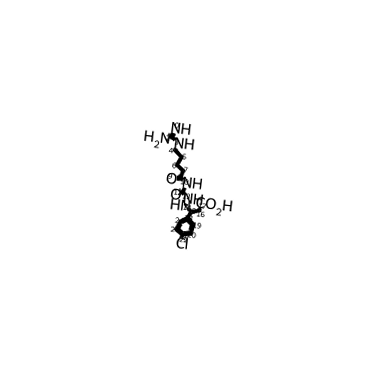 N=C(N)NCCCCC(=O)NC(=O)NNC(CC(=O)O)c1ccc(Cl)cc1